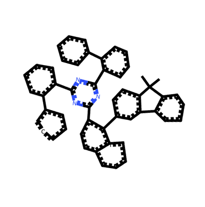 CC1(C)c2ccccc2-c2cc(-c3c(-c4nc(-c5ccccc5-c5ccccc5)nc(-c5ccccc5-c5ccccc5)n4)ccc4ccccc34)ccc21